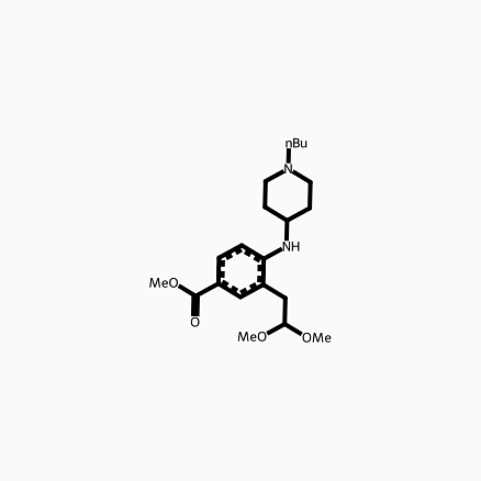 CCCCN1CCC(Nc2ccc(C(=O)OC)cc2CC(OC)OC)CC1